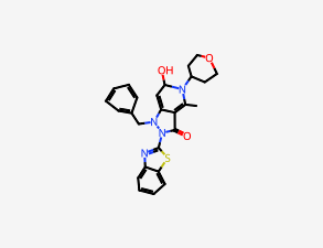 CC1=c2c(n(Cc3ccccc3)n(-c3nc4ccccc4s3)c2=O)=CC(O)N1C1CCOCC1